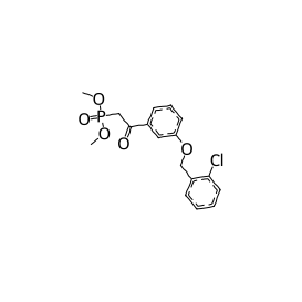 COP(=O)(CC(=O)c1cccc(OCc2ccccc2Cl)c1)OC